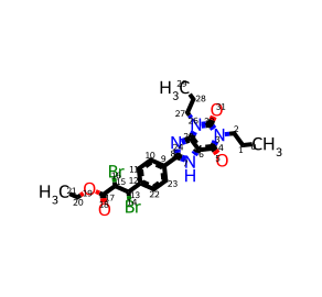 CCCn1c(=O)c2[nH]c(-c3ccc(C(Br)C(Br)C(=O)OCC)cc3)nc2n(CCC)c1=O